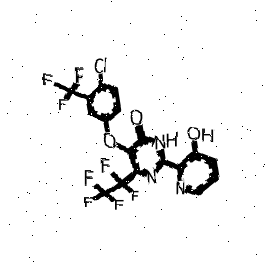 O=c1[nH]c(-c2ncccc2O)nc(C(F)(F)C(F)(F)F)c1Oc1ccc(Cl)c(C(F)(F)F)c1